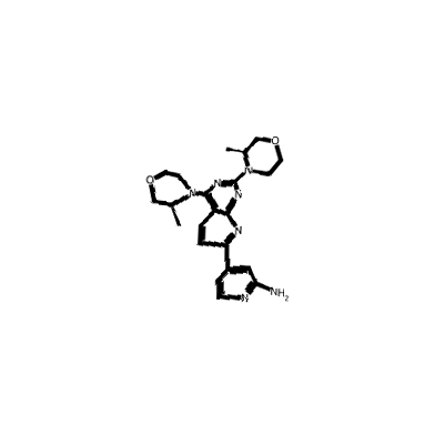 C[C@H]1COCCN1c1nc(N2CCOC[C@@H]2C)c2ccc(-c3ccnc(N)c3)nc2n1